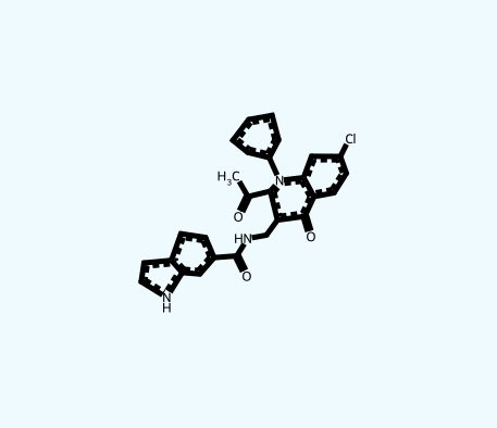 CC(=O)c1c(CNC(=O)c2ccc3cc[nH]c3c2)c(=O)c2ccc(Cl)cc2n1-c1ccccc1